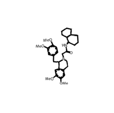 COc1ccc(CC2c3cc(OC)c(OC)cc3CCN2CC(=O)NC2CCCC3CCCCC32)cc1OC